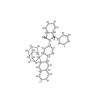 c1ccc(-n2c(-c3ccc4c(c3)C3(c5cc6ccccc6cc5-4)C4CC5CC(C4)CC3C5)nc3ccccc32)cc1